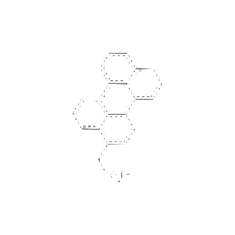 CCOC(=O)Cc1ccc2c3cccc4cccc(c5cccc1c52)c43